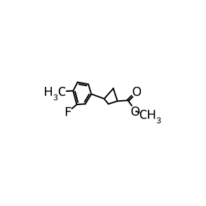 COC(=O)C1CC(c2ccc(C)c(F)c2)C1